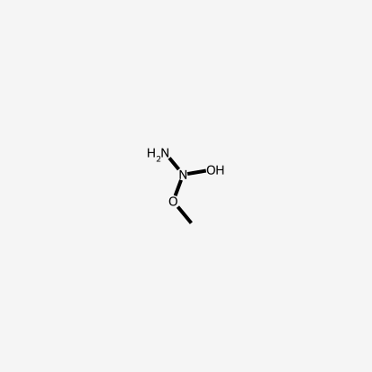 CON(N)O